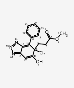 COC(=O)CCC1(Cl)C(O)=CC2=NN=NC2=C1c1ccccc1